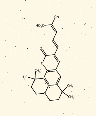 CC1(C)CCN2CCC(C)(C)c3c2c1cc1cc(/C=C/C=C(/C#N)C(=O)O)c(=O)oc31